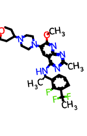 COc1nc2nc(C)nc(N[C@H](C)c3cccc(C(C)(F)F)c3F)c2cc1N1CCN(C2CCOCC2)CC1